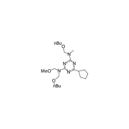 CCCCOCN(C)c1nc(C2CCCC2)nc(N(COC)COCCCC)n1